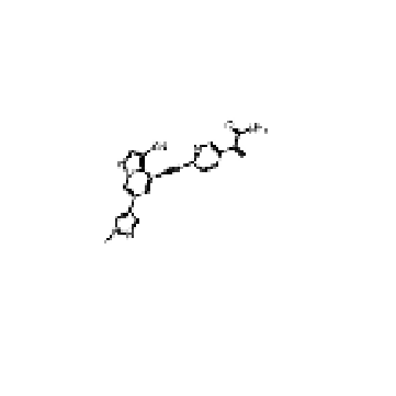 C=C(C(N)=O)c1ccc(C#Cc2cc(-c3cnn(C)c3)cn3ncc(C#N)c23)nc1